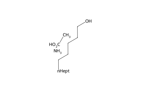 CC(=O)O.CCCCCCCCCCCCO.N